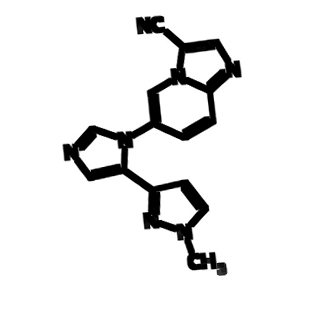 Cn1ccc(-c2cncn2-c2ccc3ncc(C#N)n3c2)n1